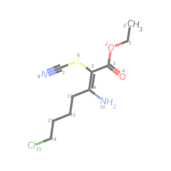 CCOC(=O)C(SC#N)=C(N)CCCCCl